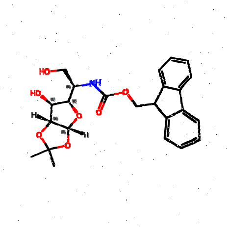 CC1(C)O[C@H]2O[C@H]([C@@H](CO)NC(=O)OCC3c4ccccc4-c4ccccc43)[C@H](O)[C@H]2O1